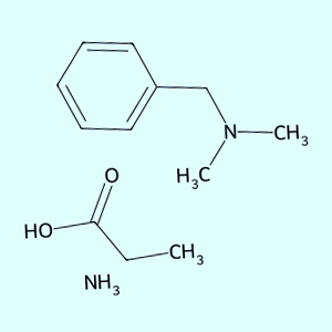 CCC(=O)O.CN(C)Cc1ccccc1.N